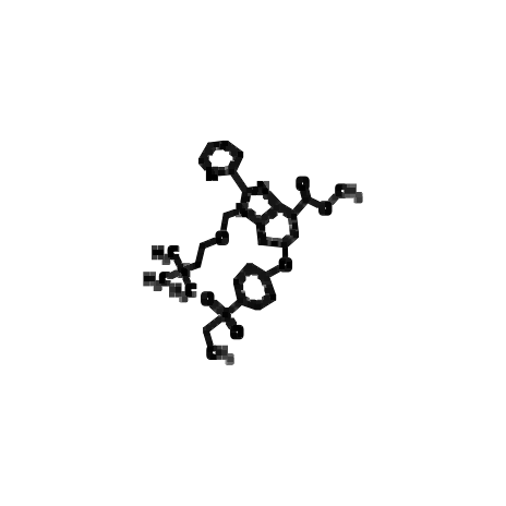 CCS(=O)(=O)c1ccc(Oc2cc(C(=O)OC)c3nc(-c4ccccn4)n(COCC[Si](C)(C)C)c3c2)cc1